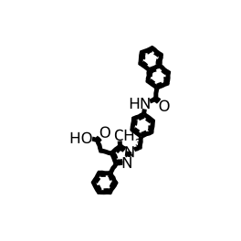 Cc1c(CC(=O)O)c(-c2ccccc2)nn1Cc1ccc(NC(=O)c2ccc3ccccc3c2)cc1